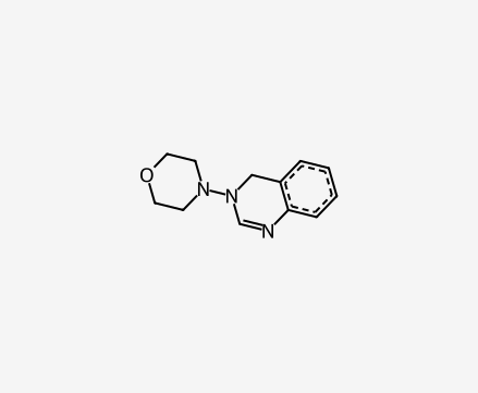 C1=Nc2ccccc2CN1N1CCOCC1